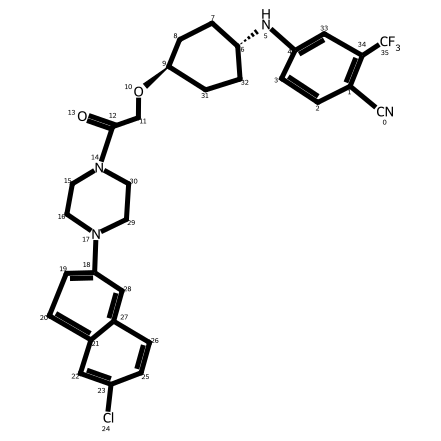 N#Cc1ccc(N[C@H]2CC[C@H](OCC(=O)N3CCN(c4ccc5cc(Cl)ccc5c4)CC3)CC2)cc1C(F)(F)F